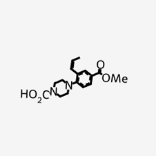 C/C=C\c1cc(C(=O)OC)ccc1N1CCN(C(=O)O)CC1